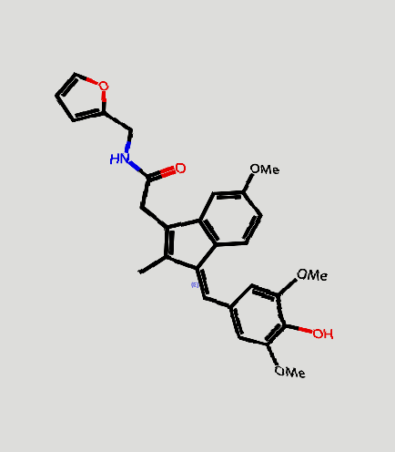 COc1ccc2c(c1)C(CC(=O)NCc1ccco1)=C(C)/C2=C/c1cc(OC)c(O)c(OC)c1